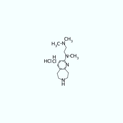 CN(C)CCN(C)c1ccc2c(n1)CCNCC2.Cl.Cl